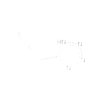 S=C=Cc1nnn[nH]1